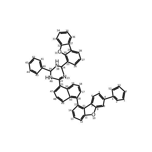 c1ccc(-c2ccc3c(c2)oc2cccc(-c4cccc5c(C6=NC(c7cccc8c7oc7ccccc78)NC(c7ccccc7)N6)cccc45)c23)cc1